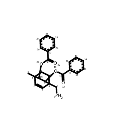 CC12C=CC(CP)(CC1)C(OC(=O)c1ccccc1)C2OC(=O)c1ccccc1